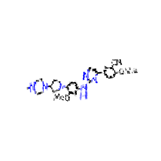 COc1ccc(-c2ccnc(Nc3ccc(N4CCC(N5CCN(C)CC5)CC4)c(OC)c3)n2)cc1C#N